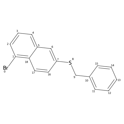 Brc1cccc2cc(SCc3ccccc3)ccc12